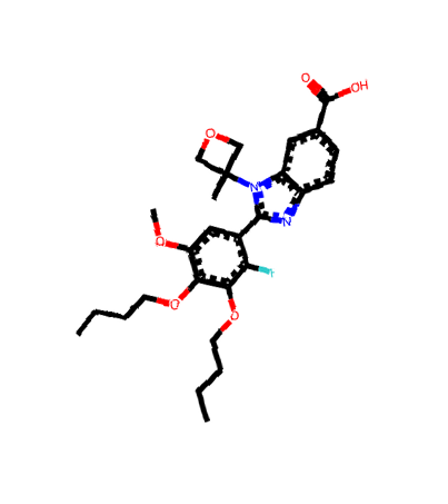 CCCCOc1c(OC)cc(-c2nc3ccc(C(=O)O)cc3n2C2(C)COC2)c(F)c1OCCCC